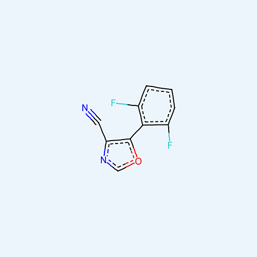 N#Cc1ncoc1-c1c(F)cccc1F